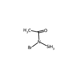 CC(=O)N([SiH3])Br